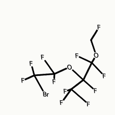 FCOC(F)(F)C(F)(OC(F)(F)C(F)(F)Br)C(F)(F)F